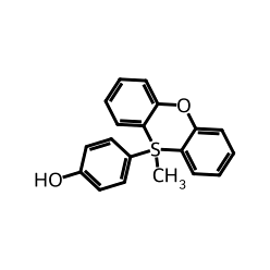 CS1(c2ccc(O)cc2)c2ccccc2Oc2ccccc21